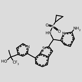 CC(O)(c1ccnc(-c2cccc3cc(C(NS(=O)(=O)C4CC4)c4cccc(N)n4)sc23)c1)C(F)(F)F